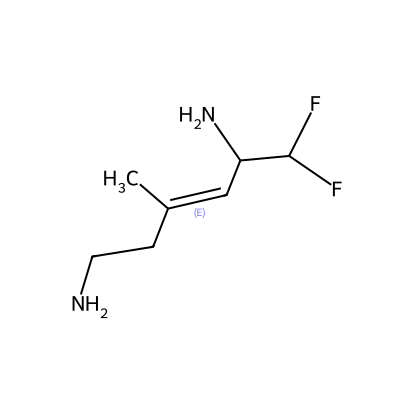 C/C(=C\C(N)C(F)F)CCN